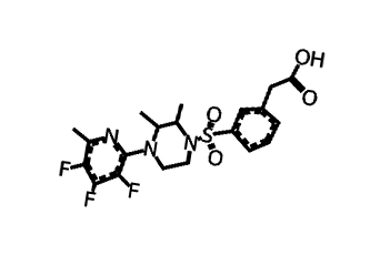 Cc1nc(N2CCN(S(=O)(=O)c3cccc(CC(=O)O)c3)C(C)C2C)c(F)c(F)c1F